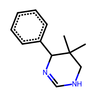 CC1(C)CNC=NC1c1ccccc1